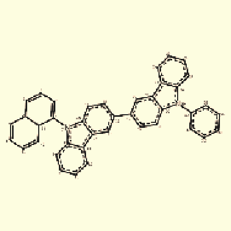 C1=CC2C=CC=C(n3c4ccccc4c4cc(-c5ccc6c(c5)c5ccccc5n6-c5ccccc5)ccc43)C2C=C1